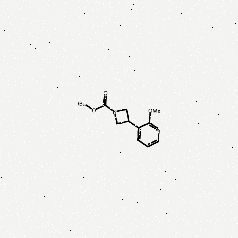 COc1ccccc1C1CN(C(=O)OC(C)(C)C)C1